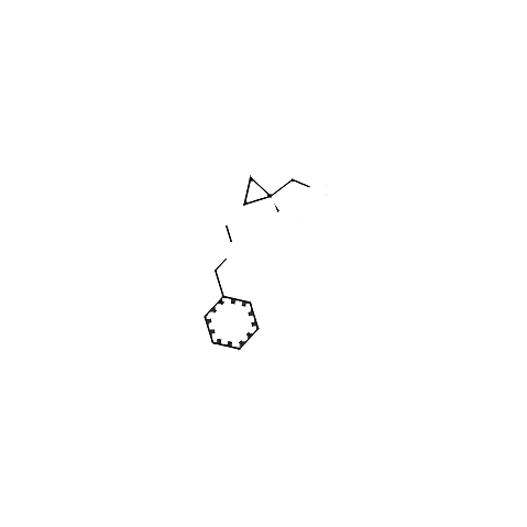 OC[C@@]1(O)C[C@H]1COCc1ccccc1